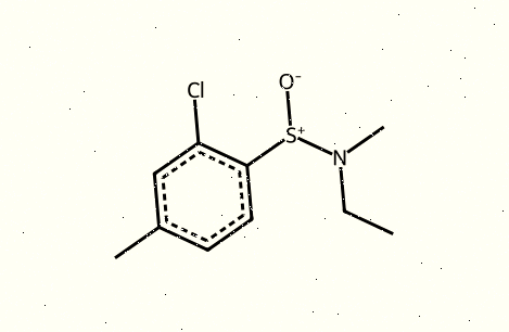 CCN(C)[S+]([O-])c1ccc(C)cc1Cl